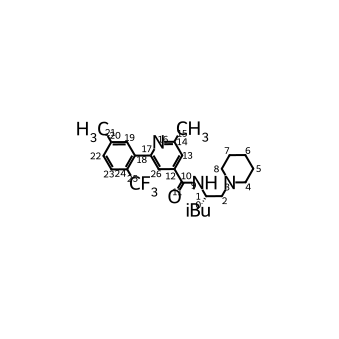 CC[C@@H](C)C(CN1CCCCC1)NC(=O)c1cc(C)nc(-c2cc(C)ccc2C(F)(F)F)c1